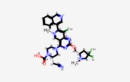 Cc1cccc2cncc(-c3ncc4c(N5CCN(C(=O)O)[C@@H](CC#N)C5)nc(OC[C@@H]5CC(F)(F)CN5C)nc4c3F)c12